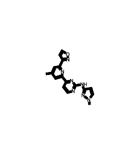 Cc1cc(-c2ccon2)nc(-c2ccnc(Nc3ccn(C)n3)n2)c1